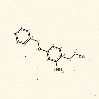 O=[N+]([O-])c1cc(OCc2ccccc2)ccc1CCBr